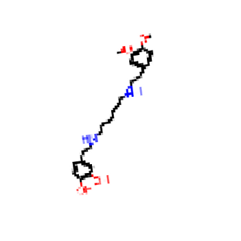 COc1ccc(CCNCCCCCCNCCc2ccc(O)c(O)c2)cc1OC